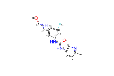 Cc1ccc(NC(=O)Nc2cc(F)cc(CNC=O)c2)cn1